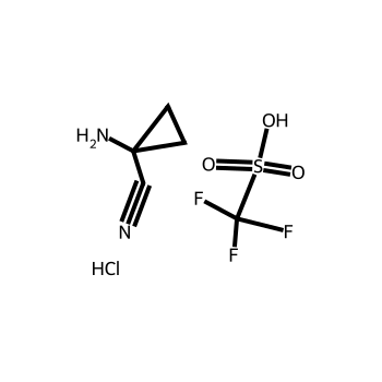 Cl.N#CC1(N)CC1.O=S(=O)(O)C(F)(F)F